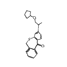 CC(COC1CCCC1)c1ccc2c(c1)SCc1ccccc1C2=O